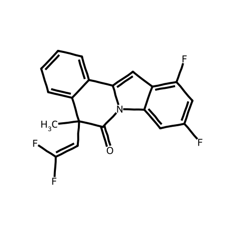 CC1(C=C(F)F)C(=O)n2c(cc3c(F)cc(F)cc32)-c2ccccc21